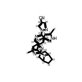 Cc1cc(Nc2cc(C)[nH]n2)nc(N2C3CCC2CN(C(=O)c2ccc(-n4cc(C#N)cn4)nc2)C3)n1